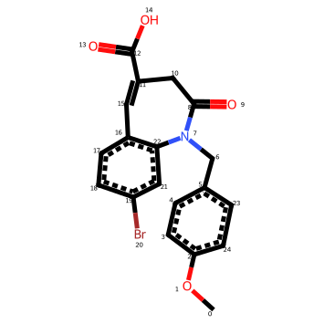 COc1ccc(CN2C(=O)CC(C(=O)O)=Cc3ccc(Br)cc32)cc1